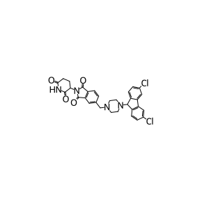 O=C1CCC(N2C(=O)c3ccc(CN4CCN(C5c6ccc(Cl)cc6-c6cc(Cl)ccc65)CC4)cc3C2=O)C(=O)N1